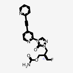 NC(=O)OC/C(=C/F)Cn1ncn(-c2cc(C#Cc3ccccn3)ccn2)c1=O